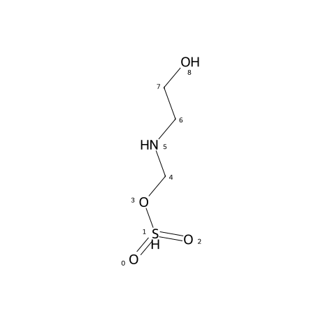 O=[SH](=O)OCNCCO